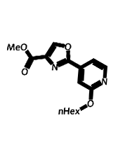 CCCCCCOc1cc(-c2nc(C(=O)OC)co2)ccn1